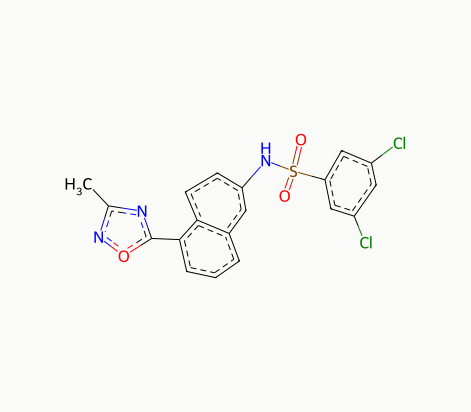 Cc1noc(-c2cccc3cc(NS(=O)(=O)c4cc(Cl)cc(Cl)c4)ccc23)n1